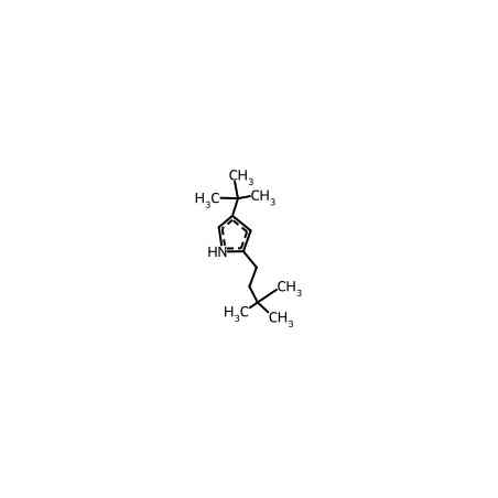 CC(C)(C)CCc1cc(C(C)(C)C)c[nH]1